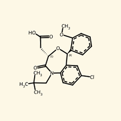 COc1ccccc1[C@@H]1O[C@@H](CC(=O)O)C(=O)N(CC(C)(C)C)c2ccc(Cl)cc21